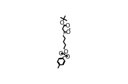 CO[C@H](CCCCCOS(=O)(=O)c1ccc(C)cc1)CC(=O)OC(C)(C)C